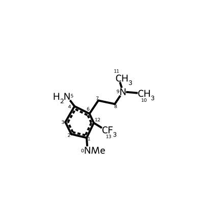 CNc1ccc(N)c(CCN(C)C)c1C(F)(F)F